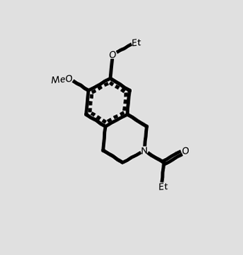 CCOc1cc2c(cc1OC)CCN(C(=O)CC)C2